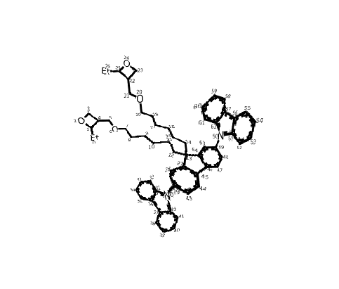 CCC1OCC1COCCCCCCC1(CCCCCCOCC2COC2CC)c2cc(-n3c4ccccc4c4ccccc43)ccc2-c2ccc(-n3c4ccccc4c4ccccc43)cc21